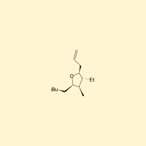 C=CC[C@@H]1O[C@H](C[C@H](C)CC)[C@H](C)[C@H]1CC